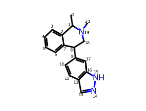 CC1c2ccccc2C(c2ccc3cn[nH]c3c2)CN1C